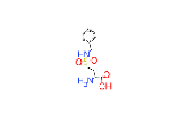 N[C@@H](CCS(=O)(=O)NCc1ccccc1)C(=O)O